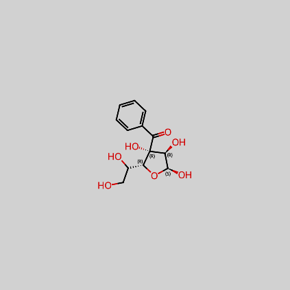 O=C(c1ccccc1)[C@]1(O)[C@@H](C(O)CO)O[C@H](O)[C@@H]1O